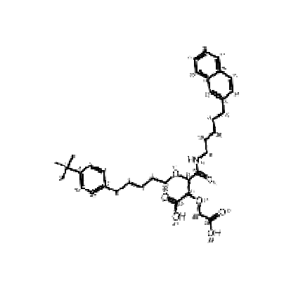 CC(C)(C)c1ccc(CCCCCOC(C(=O)NCCCCCc2ccc3ccccc3c2)C(OCC(=O)O)C(=O)O)cc1